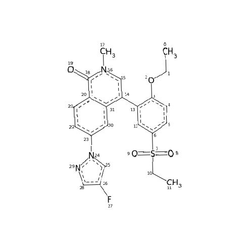 CCOc1ccc(S(=O)(=O)CC)cc1-c1cn(C)c(=O)c2ccc(-n3cc(F)cn3)cc12